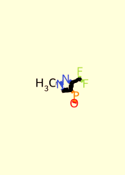 Cn1cc(P=O)c(C(F)F)n1